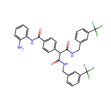 Nc1ccccc1NC(=O)c1ccc(C(C(=O)NCc2cccc(C(F)(F)F)c2)C(=O)NCc2cccc(C(F)(F)F)c2)cc1